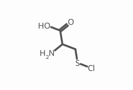 NC(CSCl)C(=O)O